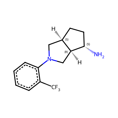 N[C@H]1CC[C@@H]2CN(c3ccccc3C(F)(F)F)C[C@@H]21